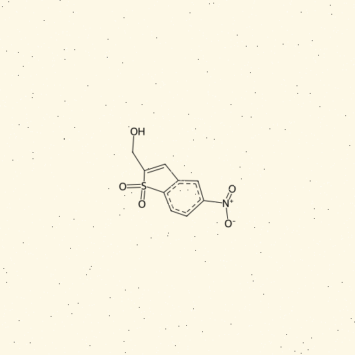 O=[N+]([O-])c1ccc2c(c1)C=C(CO)S2(=O)=O